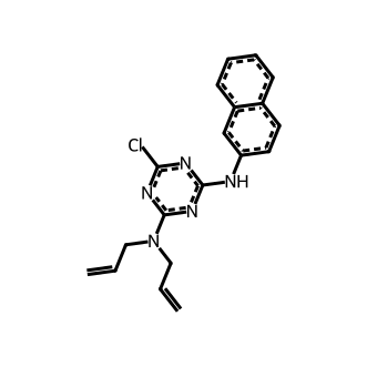 C=CCN(CC=C)c1nc(Cl)nc(Nc2ccc3ccccc3c2)n1